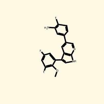 COc1c(F)cc(F)cc1-c1c[nH]c2ncc(-c3ccc(F)c(N)c3)cc12